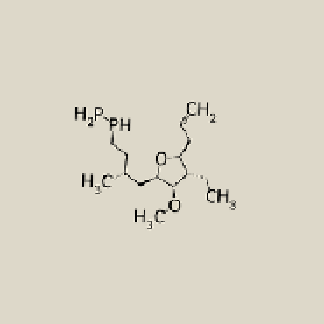 C=CC[C@@H]1O[C@H](C[C@H](C)CCPP)[C@H](OC)[C@H]1CC